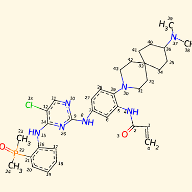 C=CC(=O)Nc1cc(Nc2ncc(Cl)c(Nc3ccccc3P(C)(C)=O)n2)ccc1N1CCC2(CCC(N(C)C)CC2)CC1